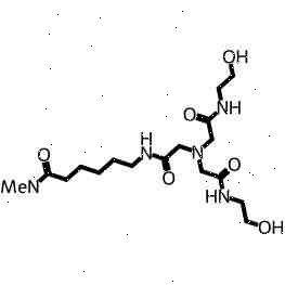 CNC(=O)CCCCCNC(=O)CN(CC(=O)NCCO)CC(=O)NCCO